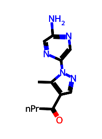 CCCC(=O)c1cnn(-c2cnc(N)cn2)c1C